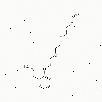 O=COCCOCCOCCOc1ccccc1/C=N/O